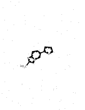 O=C(O)c1cn2cc(-c3ccco3)ccc2n1